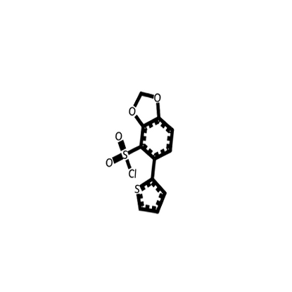 O=S(=O)(Cl)c1c(-c2cccs2)ccc2c1OCO2